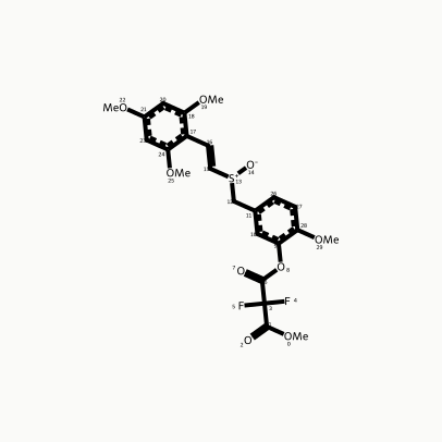 COC(=O)C(F)(F)C(=O)Oc1cc(C[S+]([O-])C=Cc2c(OC)cc(OC)cc2OC)ccc1OC